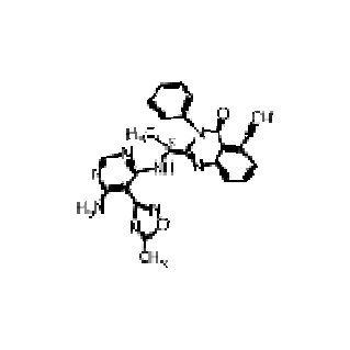 C#Cc1cccc2nc([C@H](C)Nc3ncnc(N)c3-c3noc(C)n3)n(-c3ccccc3)c(=O)c12